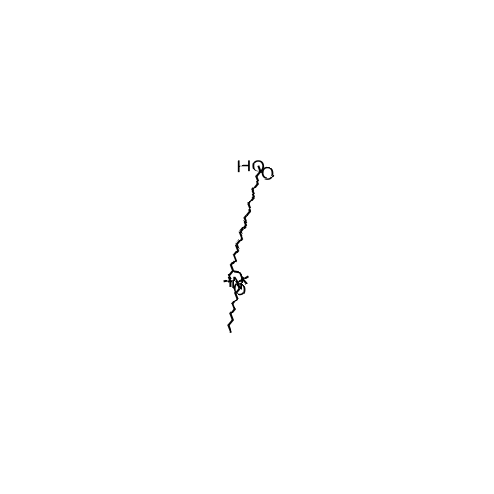 CCCCCCCCON1C(C)(C)CC(CCCCCCCCCCCCCCCC(=O)O)CC1(C)C